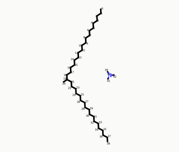 CCCCCCCCCCCCCCCCCCCC(C)CCCCCCCCCCCCCCCCCC.CN(C)C